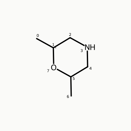 C[C]1CNCC(C)O1